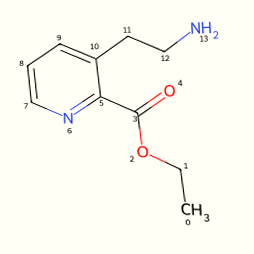 CCOC(=O)c1ncccc1CCN